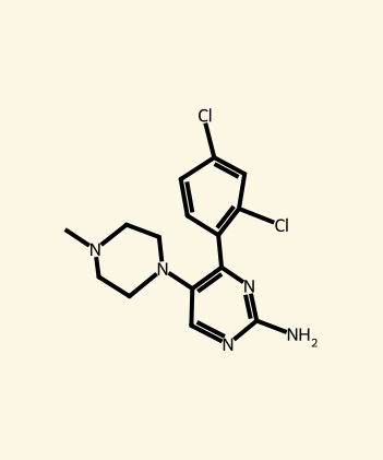 CN1CCN(c2cnc(N)nc2-c2ccc(Cl)cc2Cl)CC1